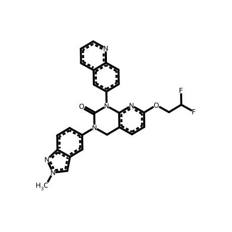 Cn1cc2cc(N3Cc4ccc(OCC(F)F)nc4N(c4ccc5ncccc5c4)C3=O)ccc2n1